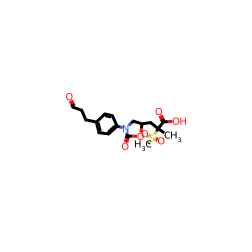 CC(CC1CN(c2ccc(CCC=O)cc2)C(=O)O1)(C(=O)O)S(C)(=O)=O